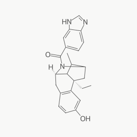 CC[C@@]12CC3C(C)C1[C@@H](Cc1ccc(O)cc12)N3C(=O)c1ccc2nc[nH]c2c1